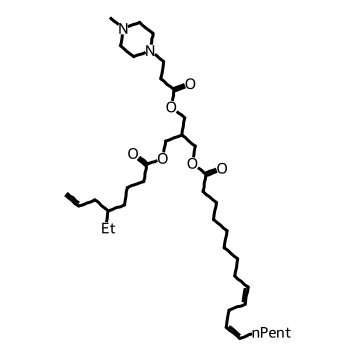 C=CCC(CC)CCCC(=O)OCC(COC(=O)CCCCCCC/C=C\C/C=C\CCCCC)COC(=O)CCN1CCN(C)CC1